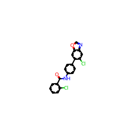 O=C(Nc1ccc(-c2cc3ocnc3cc2Cl)cc1)c1ccccc1Cl